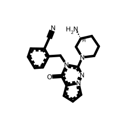 N#Cc1ccccc1Cn1c(N2CCC[C@@H](N)C2)nn2cccc2c1=O